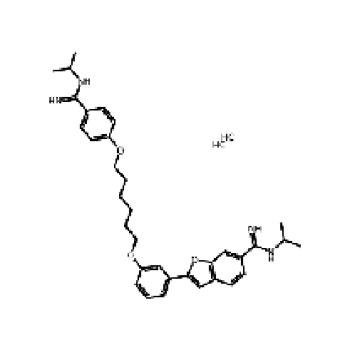 CC(C)NC(=N)c1ccc(OCCCCCCOc2cccc(-c3cc4ccc(C(=N)NC(C)C)cc4o3)c2)cc1.Cl.Cl